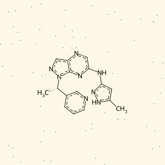 Cc1cc(Nc2cnc3cnn([C@@H](C)c4cccnc4)c3n2)n[nH]1